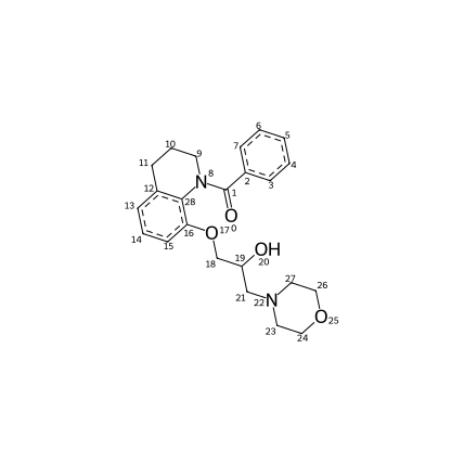 O=C(c1ccccc1)N1CCCc2cccc(OCC(O)CN3CCOCC3)c21